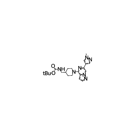 Cn1cc(-c2cn3nccc3c(N3CCC(CNC(=O)OC(C)(C)C)CC3)n2)cn1